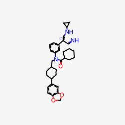 N=C/C(=C\NC1CC1)c1cccc(N(CC2CCC(c3ccc4c(c3)OCO4)CC2)C(=O)C2CCCCC2)c1